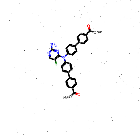 COC(=O)c1ccc(-c2ccc(N(c3ccc(-c4ccc(C(=O)OC)cc4)cc3)c3nc(N)ncc3F)cc2)cc1